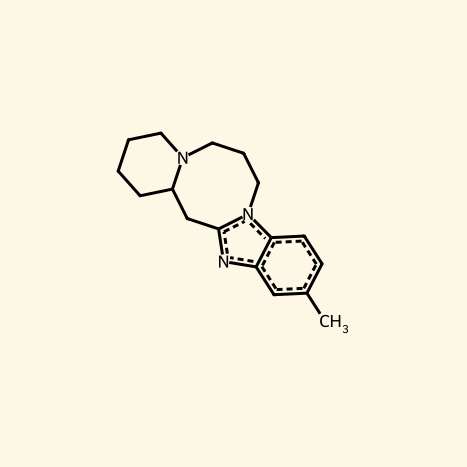 Cc1ccc2c(c1)nc1n2CCCN2CCCCC2C1